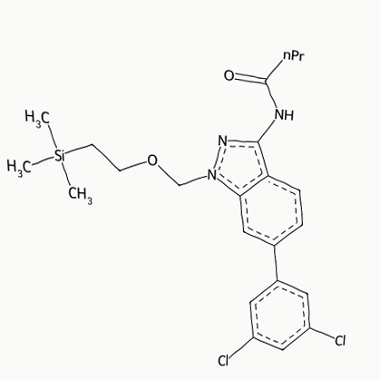 CCCC(=O)Nc1nn(COCC[Si](C)(C)C)c2cc(-c3cc(Cl)cc(Cl)c3)ccc12